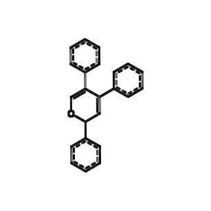 C1=C(c2ccccc2)C(c2ccccc2)=CC(c2ccccc2)O1